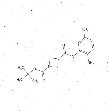 Cc1ccc(N)c(NC(=O)C2CN(C(=O)OC(C)(C)C)C2)c1